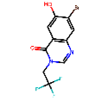 O=c1c2cc(O)c(Br)cc2ncn1CC(F)(F)F